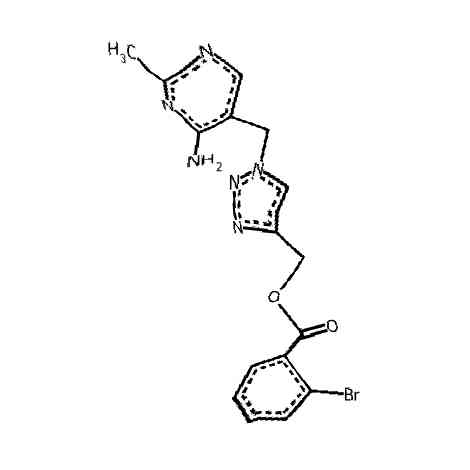 Cc1ncc(Cn2cc(COC(=O)c3ccccc3Br)nn2)c(N)n1